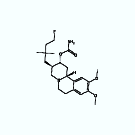 COc1cc2c(cc1OC)[C@H]1C[C@@H](OC(N)=O)[C@H](CC(C)(C)CCF)CN1CC2